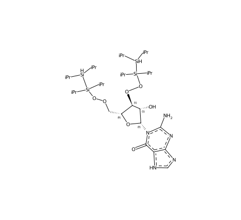 CC(C)[SiH](C(C)C)[Si](OOC[C@H]1O[C@@H](n2c(N)nc3nc[nH]c3c2=O)[C@@H](O)[C@@H]1OO[Si](C(C)C)(C(C)C)[SiH](C(C)C)C(C)C)(C(C)C)C(C)C